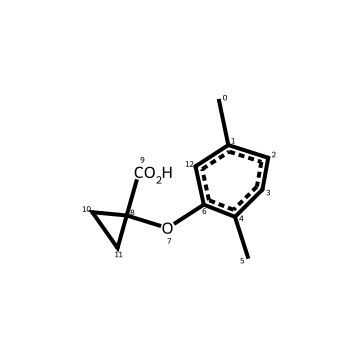 Cc1ccc(C)c(OC2(C(=O)O)CC2)c1